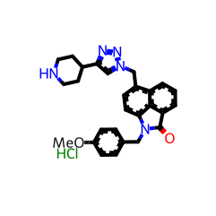 COc1ccc(CN2C(=O)c3cccc4c(Cn5cc(C6CCNCC6)nn5)ccc2c34)cc1.Cl